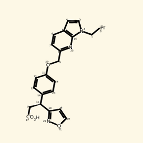 CC(C)Cn1ccc2ccc(COc3ccc([C@H](CC(=O)O)c4ccon4)cc3)nc21